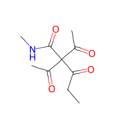 CCC(=O)C(C(C)=O)(C(C)=O)C(=O)NC